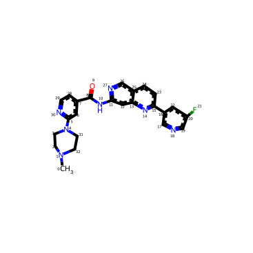 CN1CCN(c2cc(C(=O)Nc3cc4nc(-c5cncc(F)c5)ccc4cn3)ccn2)CC1